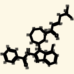 Cc1cccc2nc(NC(=O)c3cccnc3)n(C3CCCCN(C(=O)C=CCN(C)C)C3)c12